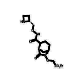 CCOC(=O)CON1C(=O)N2CC1CCC2C(=O)NOC[C@H]1CCN1